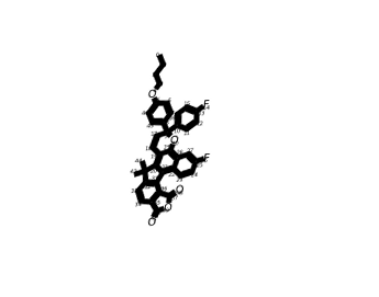 CCCCOc1ccc(C2(c3ccc(F)cc3)C=Cc3c4c(c5ccc(F)cc5c3O2)-c2c(ccc3c2C(=O)OC3=O)C4(C)C)cc1